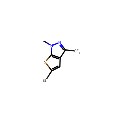 CCc1cc2c(C(F)(F)F)nn(C)c2s1